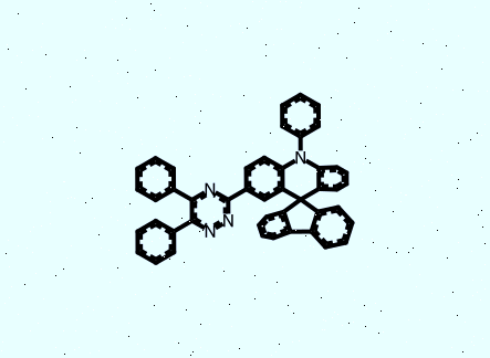 c1ccc(-c2nnc(-c3ccc4c(c3)C3(c5ccccc5-c5ccccc53)c3ccccc3N4c3ccccc3)nc2-c2ccccc2)cc1